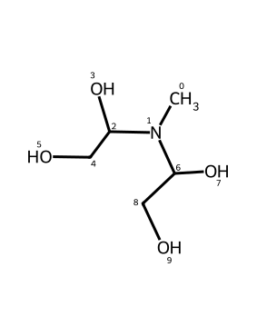 CN(C(O)CO)C(O)CO